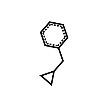 [CH]1CC1Cc1ccccc1